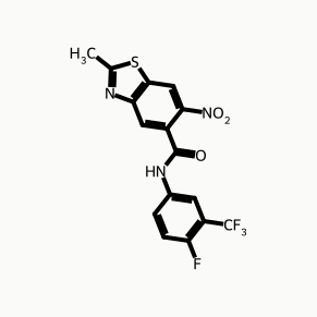 Cc1nc2cc(C(=O)Nc3ccc(F)c(C(F)(F)F)c3)c([N+](=O)[O-])cc2s1